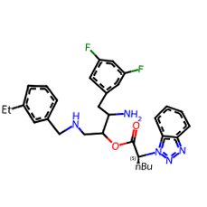 CCCC[C@@H](C(=O)OC(CNCc1cccc(CC)c1)C(N)Cc1cc(F)cc(F)c1)n1nnc2ccccc21